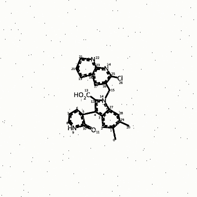 Cc1cc2c(-c3ccc[nH]c3=O)c(C(=O)O)n(Cc3cc4cccnc4nc3Cl)c2cc1C